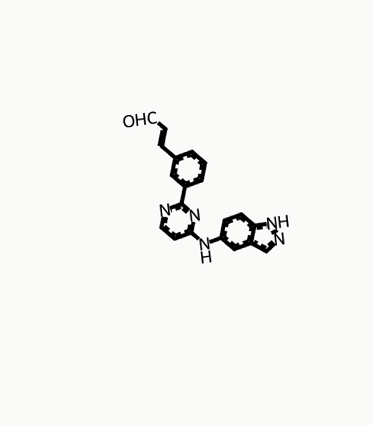 O=C/C=C/c1cccc(-c2nccc(Nc3ccc4[nH]ncc4c3)n2)c1